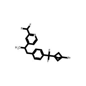 CC(Cc1ccc(C(F)(F)C23CC(C(C)C)(C2)C3)cc1)c1ccnc(C(F)F)c1